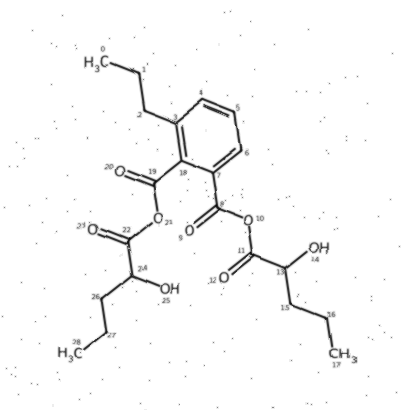 CCCc1cccc(C(=O)OC(=O)C(O)CCC)c1C(=O)OC(=O)C(O)CCC